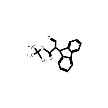 CC(C)(C)OC(=O)C([C]=O)C1c2ccccc2-c2ccccc21